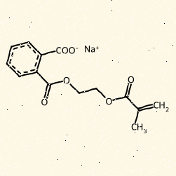 C=C(C)C(=O)OCCOC(=O)c1ccccc1C(=O)[O-].[Na+]